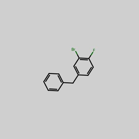 Fc1ccc(Cc2ccccc2)cc1Br